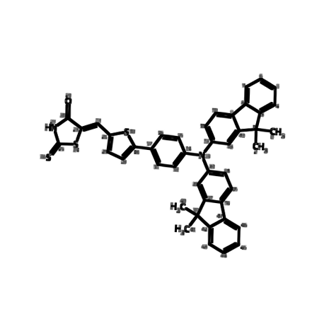 CC1(C)c2ccccc2-c2ccc(N(c3ccc(-c4ccc(/C=C5\SC(=S)NC5=O)s4)cc3)c3ccc4c(c3)C(C)(C)c3ccccc3-4)cc21